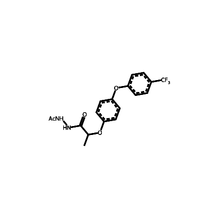 CC(=O)NNC(=O)C(C)Oc1ccc(Oc2ccc(C(F)(F)F)cc2)cc1